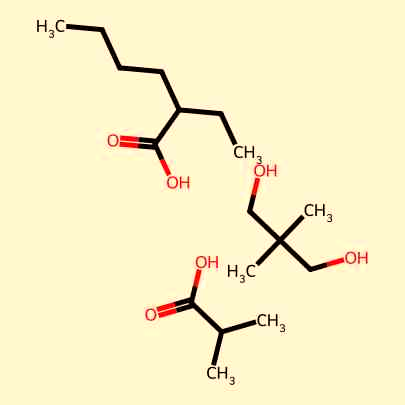 CC(C)(CO)CO.CC(C)C(=O)O.CCCCC(CC)C(=O)O